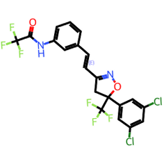 O=C(Nc1cccc(/C=C/C2=NOC(c3cc(Cl)cc(Cl)c3)(C(F)(F)F)C2)c1)C(F)(F)F